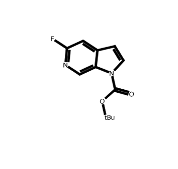 CC(C)(C)OC(=O)n1ccc2cc(F)ncc21